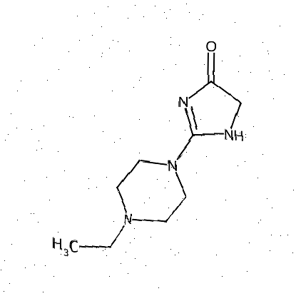 CCN1CCN(C2=NC(=O)CN2)CC1